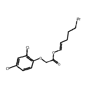 CC(C)CCCC=COC(=O)COc1ccc(Cl)cc1Cl